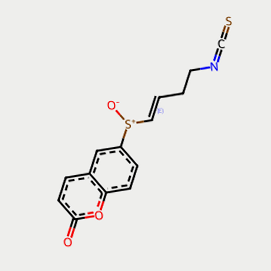 O=c1ccc2cc([S+]([O-])/C=C/CCN=C=S)ccc2o1